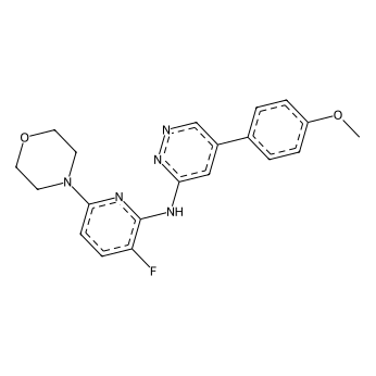 COc1ccc(-c2cnnc(Nc3nc(N4CCOCC4)ccc3F)c2)cc1